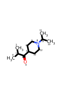 CC(C)C(=O)C1CCN(C(C)C)CC1